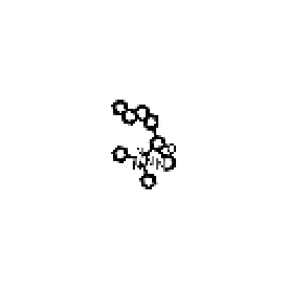 c1ccc(-c2nc(-c3ccccc3)nc(-c3cc(-c4ccc5ccc6c7ccccc7ccc6c5c4)cc4oc5cccnc5c34)n2)cc1